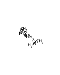 COc1ccc(CCCNCCCC2Cc3cc(OC)c(OC)cc3C2=O)cc1OC